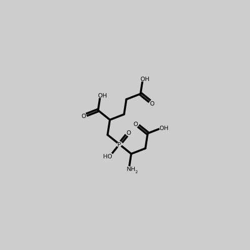 NC(CC(=O)O)P(=O)(O)CC(CCC(=O)O)C(=O)O